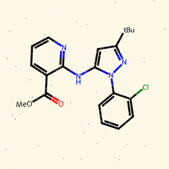 COC(=O)c1cccnc1Nc1cc(C(C)(C)C)nn1-c1ccccc1Cl